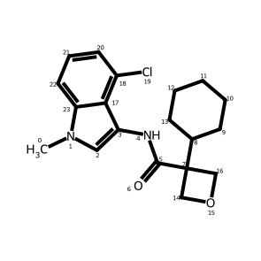 Cn1cc(NC(=O)C2(C3CCCCC3)COC2)c2c(Cl)cccc21